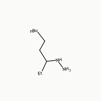 CCCCCCC(CC)NN